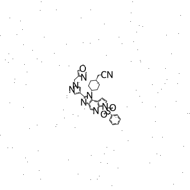 N#CC[C@H]1CC[C@H](n2c(-c3cnn(Cc4cocn4)c3)nc3cnc4c(ccn4S(=O)(=O)c4ccccc4)c32)CC1